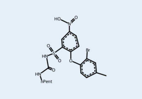 CCCCCNC(=O)NS(=O)(=O)c1cc([N+](=O)O)ccc1Oc1ccc(C)cc1Br